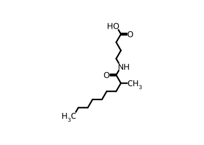 CCCCCCCC(C)C(=O)NCCCC(=O)O